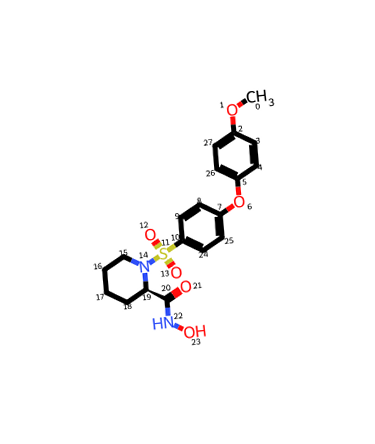 COc1ccc(Oc2ccc(S(=O)(=O)N3CCCC[C@@H]3C(=O)NO)cc2)cc1